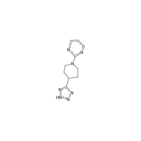 c1cnc(N2CCC(c3nn[nH]n3)CC2)nc1